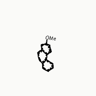 [CH2]Oc1ccc2c(ccc3ccccc32)c1